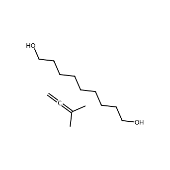 C=C=C(C)C.OCCCCCCCCCO